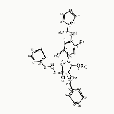 CC(=O)OC1C(n2cc(F)c(NC(=O)c3ccccc3)nc2=O)OC(C)(COCc2ccccc2)C1OCc1ccccc1